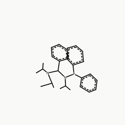 CC(C)N(C(C)C)C(c1ccccc1)N(C(C)C)P(c1ccccc1)c1ccccc1